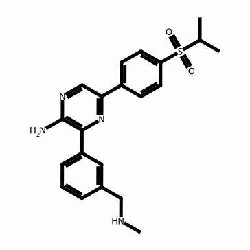 CNCc1cccc(-c2nc(-c3ccc(S(=O)(=O)C(C)C)cc3)cnc2N)c1